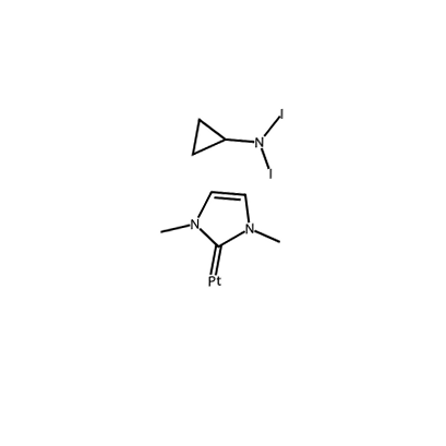 Cn1ccn(C)[c]1=[Pt].IN(I)C1CC1